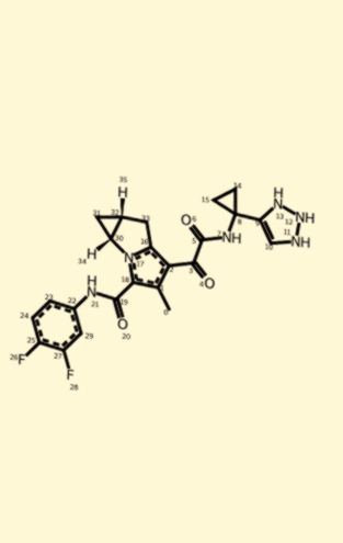 Cc1c(C(=O)C(=O)NC2(C3=CNNN3)CC2)c2n(c1C(=O)Nc1ccc(F)c(F)c1)[C@@H]1C[C@@H]1C2